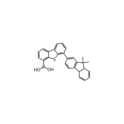 CC1(C)c2cc(-c3cccc4c3sc3c(B(O)O)cccc34)ccc2C2C=CC=CC21